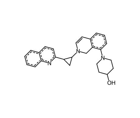 OC1CCN(c2cccc3c2CN(C2CC2c2ccc4ccccc4n2)C=C3)CC1